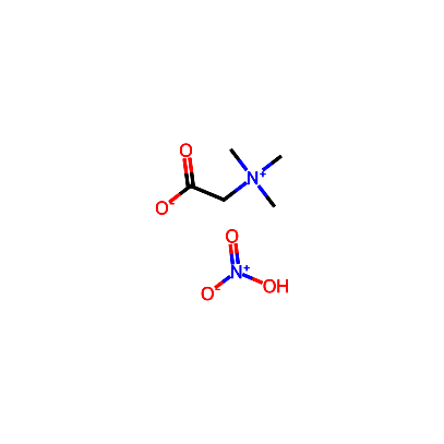 C[N+](C)(C)CC(=O)[O-].O=[N+]([O-])O